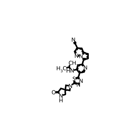 CC(C)Nc1cc(-c2ccc3cc(C#N)cnn23)ncc1-c1nnc(N2CC3(CNC(=O)C3)C2)s1